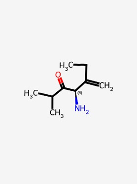 C=C(CC)[C@@H](N)C(=O)C(C)C